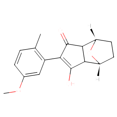 COc1ccc(C)c(C2=C(O)C3C(C2=O)[C@@H]2CC[C@H]3O2)c1